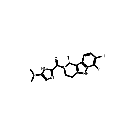 C[C@H]1c2c([nH]c3c(Cl)c(Cl)ccc23)CCN1C(=O)c1ncc(N(C)C)[nH]1